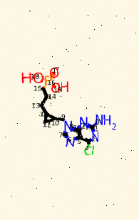 Nc1nc(Cl)c2ncn(CC3CC3CCCP(=O)(O)O)c2n1